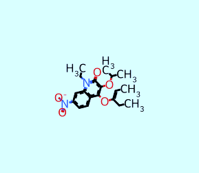 CC=C(CC)Oc1c(OC(C)C)c(=O)n(CC)c2cc([N+](=O)[O-])ccc12